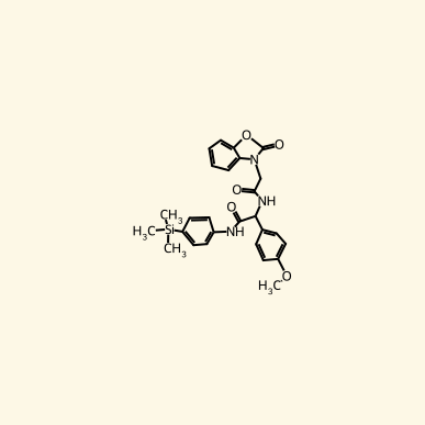 COc1ccc(C(NC(=O)Cn2c(=O)oc3ccccc32)C(=O)Nc2ccc([Si](C)(C)C)cc2)cc1